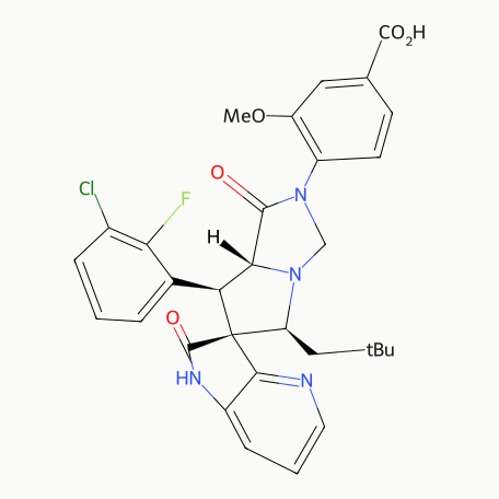 COc1cc(C(=O)O)ccc1N1CN2[C@@H](CC(C)(C)C)[C@@]3(C(=O)Nc4cccnc43)[C@@H](c3cccc(Cl)c3F)[C@@H]2C1=O